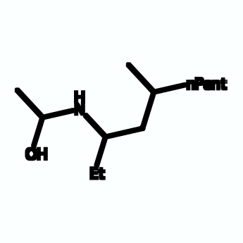 CCCCCC(C)CC(CC)NC(C)O